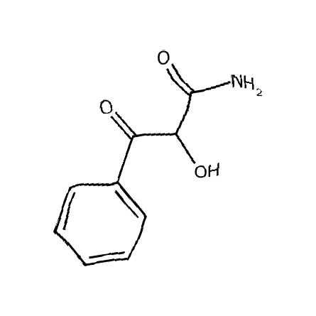 NC(=O)C(O)C(=O)c1ccccc1